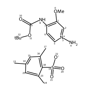 COc1c[n+](N)ccc1NC(=O)OC(C)(C)C.Cc1cc(C)c(S(=O)(=O)[O-])c(C)c1